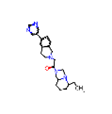 CCC1CCCC2CN(C(=O)CN3CCc4cc(-c5cncnc5)ccc4C3)CCN12